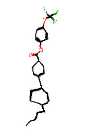 CCCCC1CCC(C2CCC(C(=O)Oc3ccc(OC(F)(F)F)cc3)CC2)CC1